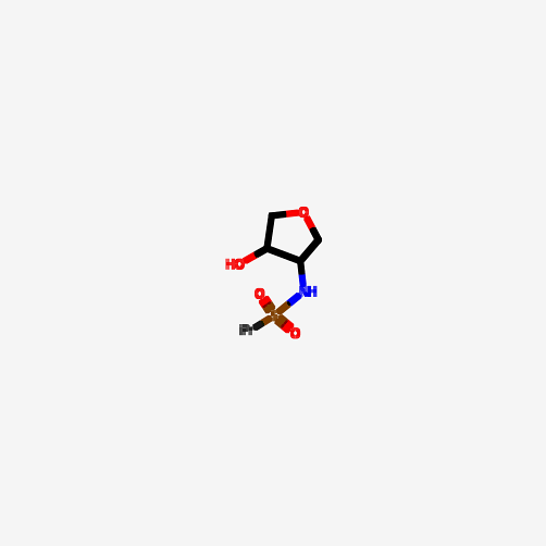 CC(C)S(=O)(=O)NC1COCC1O